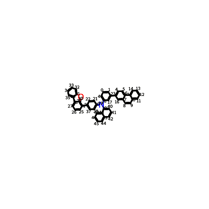 c1cc(-c2ccc3c(ccc4ccccc43)c2)cc(N(c2ccc(-c3cccc4c3oc3ccccc34)cc2)c2cccc3ccccc23)c1